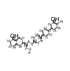 CCCN(CCN1CCN(c2ccc(-c3ccc(C)c(O)c3)cc2)CC1)C1CCc2c(O)cccc2C1